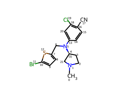 CN1CC[C@H](N(Cc2ccc(Br)s2)c2ccc(C#N)c(Cl)c2)C1